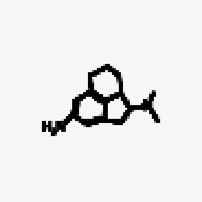 CN(C)C1Cc2cc(N)cc3c2C1CCC3